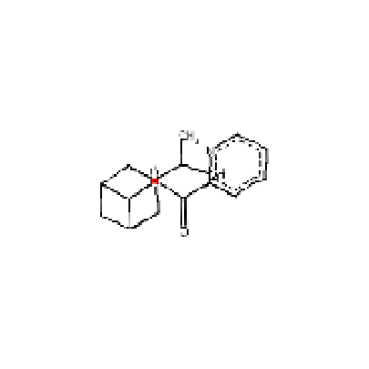 CC(C)N1CC2CC(C1)C2NC(=O)c1ccccn1